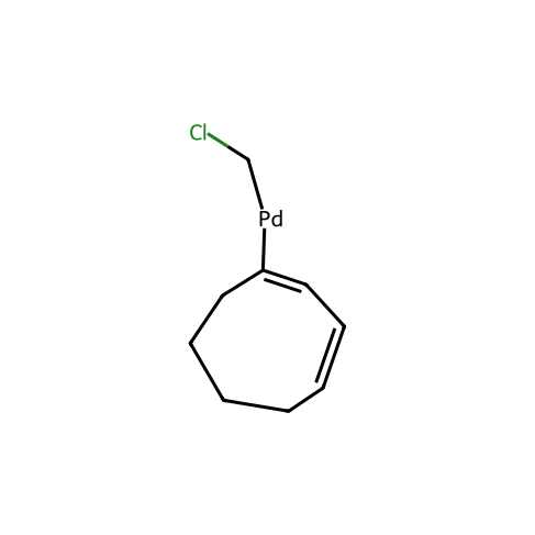 Cl[CH2][Pd]/[C]1=C/C=C\CCCC1